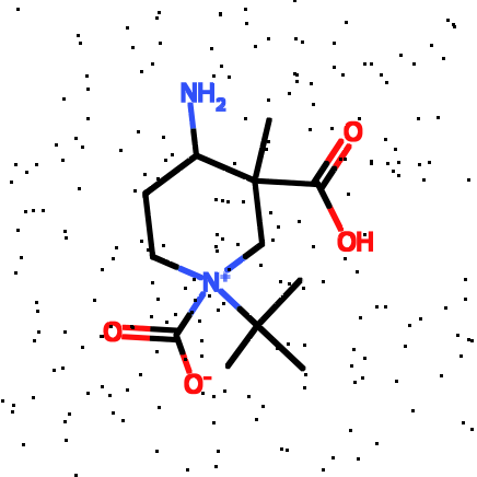 CC1(C(=O)O)C[N+](C(=O)[O-])(C(C)(C)C)CCC1N